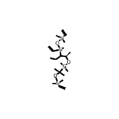 C=C[Si](C)(C)OC(C)(C)[Si](C)(C)O[C@H](C)C(CC)[Si](C)(C=C)O[Si](C)(C)C=C